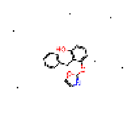 Oc1cccc(Oc2ncco2)c1Cc1ccccc1